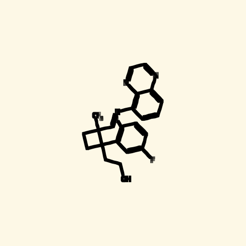 OCCC1(c2cc(F)ccc2Cl)CCC1(C=Nc1cccc2nccnc12)C(F)(F)F